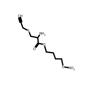 C#CCSCC(N)C(=O)OCCCCO[N+](=O)[O-]